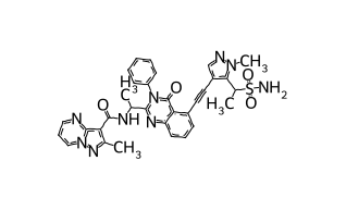 Cc1nn2cccnc2c1C(=O)NC(C)c1nc2cccc(C#Cc3cnn(C)c3C(C)S(N)(=O)=O)c2c(=O)n1-c1ccccc1